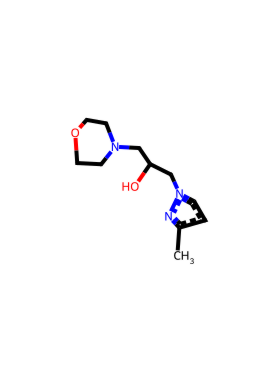 Cc1ccn(CC(O)CN2CCOCC2)n1